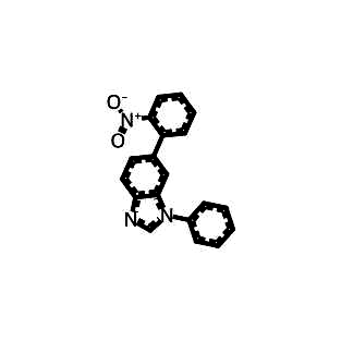 O=[N+]([O-])c1ccccc1-c1ccc2ncn(-c3ccccc3)c2c1